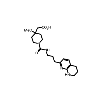 COC1(CC(=O)O)CCN(C(=O)NCCCc2ccc3c(n2)NCCC3)CC1